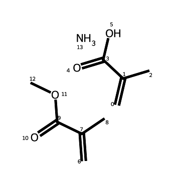 C=C(C)C(=O)O.C=C(C)C(=O)OC.N